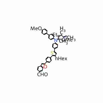 C/C=C(\OC)C(C)[C@@H](CC)[C@@H](C)N(c1ccc(-c2ccc(OC)cc2)cc1)c1ccc(-c2cc(CCCCCC)c(-c3ccc(-c4cc5ccc(C=O)cc5o4)cc3)s2)cc1